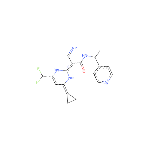 CC(NC(=O)/C(C=N)=C1/NC(C(F)F)=CC(=C2CC2)N1)c1ccncc1